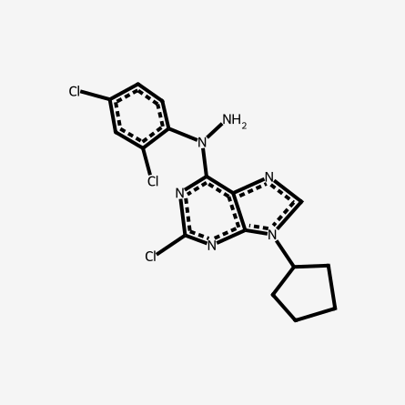 NN(c1ccc(Cl)cc1Cl)c1nc(Cl)nc2c1ncn2C1CCCC1